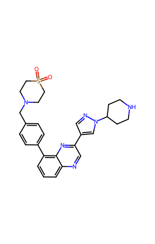 O=S1(=O)CCN(Cc2ccc(-c3cccc4ncc(-c5cnn(C6CCNCC6)c5)nc34)cc2)CC1